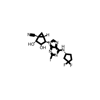 N#C[C@@]12C[C@@H]1[C@@H](n1cnc3c(N[C@@H]4CCC(F)(F)C4)nc(I)nc31)[C@H](O)[C@@H]2O